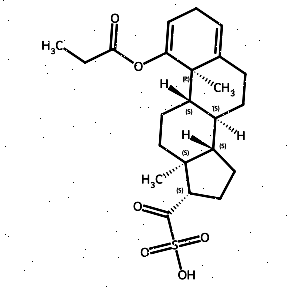 CCC(=O)OC1=CCC=C2CC[C@@H]3[C@H](CC[C@]4(C)[C@@H](C(=O)S(=O)(=O)O)CC[C@@H]34)[C@]21C